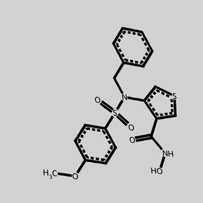 COc1ccc(S(=O)(=O)N(Cc2ccccc2)c2cscc2C(=O)NO)cc1